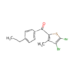 CCc1ccc(C(=O)c2sc(Br)c(Br)c2C)cc1